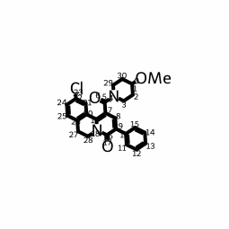 COC1CCN(C(=O)c2cc(-c3ccccc3)c(=O)n3c2-c2cc(Cl)ccc2CC3)CC1